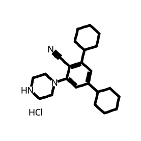 Cl.N#Cc1c(C2CCCCC2)cc(C2CCCCC2)cc1N1CCNCC1